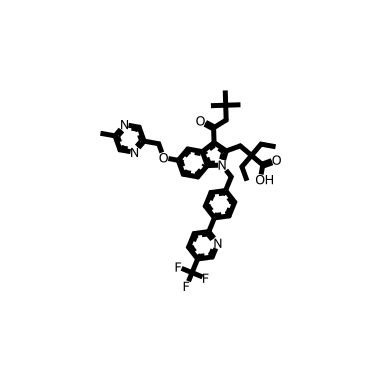 CCC(CC)(Cc1c(C(=O)CC(C)(C)C)c2cc(OCc3cnc(C)cn3)ccc2n1Cc1ccc(-c2ccc(C(F)(F)F)cn2)cc1)C(=O)O